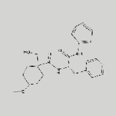 COC1CCC(CO)(C(=O)N[C@@H](Cc2ccccc2)C(=O)Nc2ccccc2)CC1